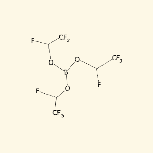 FC(OB(OC(F)C(F)(F)F)OC(F)C(F)(F)F)C(F)(F)F